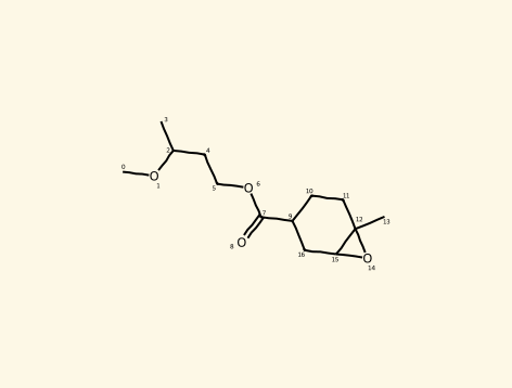 COC(C)CCOC(=O)C1CCC2(C)OC2C1